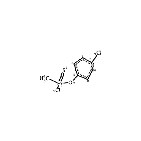 CP(=S)(Cl)Oc1ccc(Cl)cc1